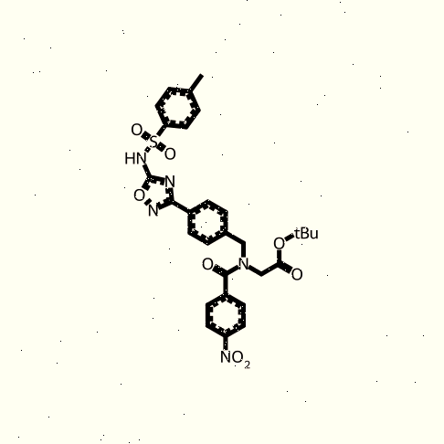 Cc1ccc(S(=O)(=O)Nc2nc(-c3ccc(CN(CC(=O)OC(C)(C)C)C(=O)c4ccc([N+](=O)[O-])cc4)cc3)no2)cc1